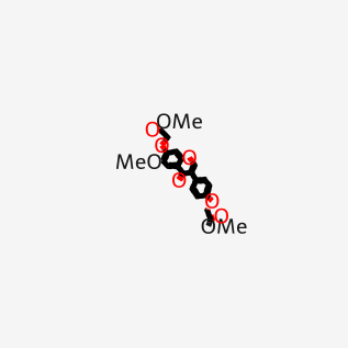 COC(=O)COc1ccc(-c2coc3cc(OCC(=O)OC)c(OC)cc3c2=O)cc1